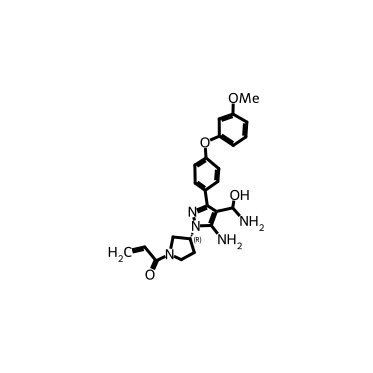 C=CC(=O)N1CC[C@@H](n2nc(-c3ccc(Oc4cccc(OC)c4)cc3)c(C(N)O)c2N)C1